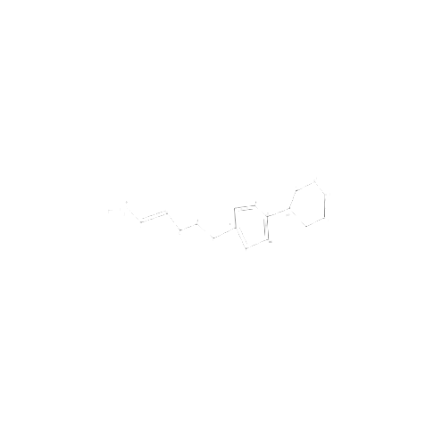 O=S(=O)(O)C=CCCCc1ccc(C2CCCCC2)cc1